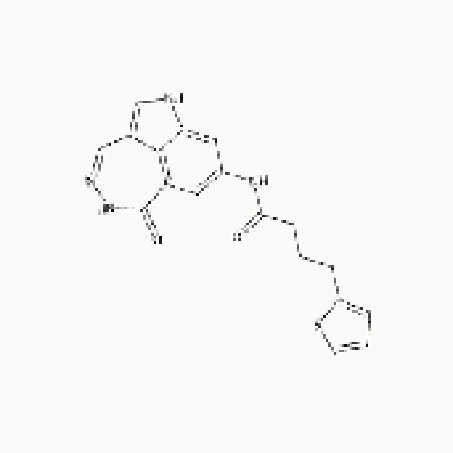 O=C(CCCc1cccs1)Nc1cc2c3c(c[nH]c3c1)C=NNC2=O